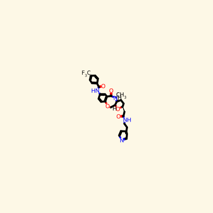 CN1C(=O)c2cc(NC(=O)c3ccc(C(F)(F)F)cc3)ccc2OC[C@@H]2O[C@H](CC(=O)NCCc3ccncc3)CC[C@@H]21